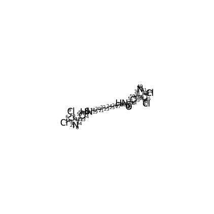 CN1Cc2c(Cl)cc(Cl)cc2C(c2ccc(SNCCCCCCCCCCCCN[S+]([O-])c3ccc(C4CN(C)Cc5c(Cl)cc(Cl)cc54)cc3)cc2)C1